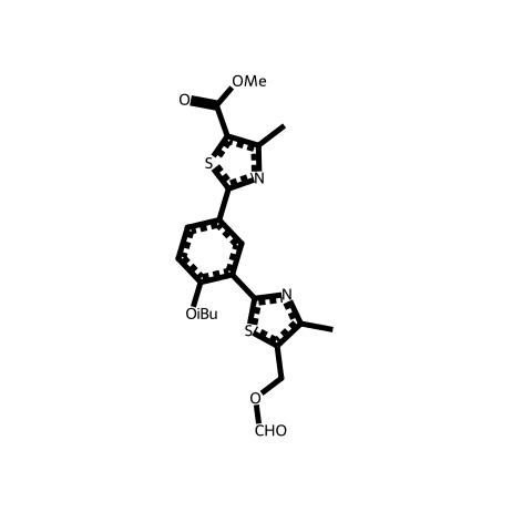 COC(=O)c1sc(-c2ccc(OCC(C)C)c(-c3nc(C)c(COC=O)s3)c2)nc1C